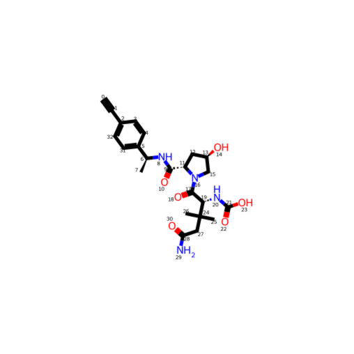 C#Cc1ccc([C@H](C)NC(=O)[C@@H]2C[C@@H](O)CN2C(=O)[C@H](NC(=O)O)C(C)(C)CC(N)=O)cc1